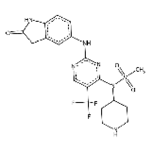 CS(=O)(=O)N(c1nc(Nc2ccc3c(c2)CC(=O)N3)ncc1C(F)(F)F)C1CCNCC1